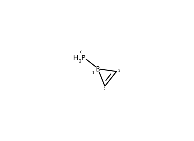 PB1C=C1